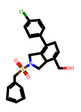 O=S(=O)(Cc1ccccc1)N1CC2=C(c3ccc(Cl)cc3)CC=C(CO)C2C1